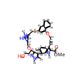 COC(=O)c1c2c3ccc(C)c(c3n1C)-c1c(nn(C)c1C)C(CCO)OCC1C=C(CSc3cc(c4ccccc4c3)OCCC2)N(C)N1